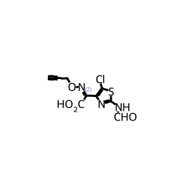 C#CCO/N=C(\C(=O)O)c1nc(NC=O)sc1Cl